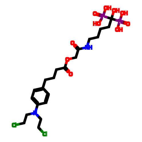 O=C(COC(=O)CCCc1ccc(N(CCCl)CCCl)cc1)NCCCCC(O)(P(=O)(O)O)P(=O)(O)O